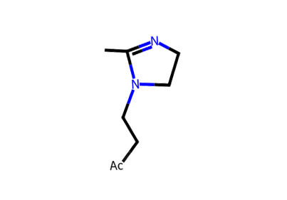 CC(=O)CCN1CCN=C1C